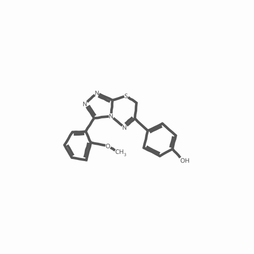 COc1ccccc1-c1nnc2n1N=C(c1ccc(O)cc1)CS2